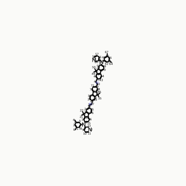 Cc1cc(C)cc(N(c2cccnc2)c2ccc3c(c2)C(C)(C)c2cc(/C=C/c4ccc5c(c4)C(C)(C)c4cc(/C=C/c6ccc7c(c6)C(C)(C)c6cc(N(c8cccnc8)c8cc(C)cc(C)c8)ccc6-7)ccc4-5)ccc2-3)c1